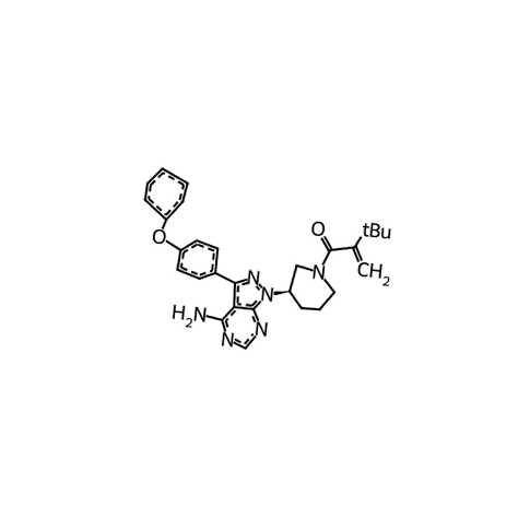 C=C(C(=O)N1CCC[C@@H](n2nc(-c3ccc(Oc4ccccc4)cc3)c3c(N)ncnc32)C1)C(C)(C)C